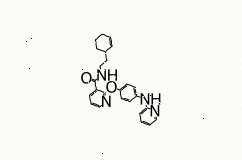 O=C(NCCC1C=CCCC1)c1cccnc1Oc1ccc(Nc2ccccn2)cc1